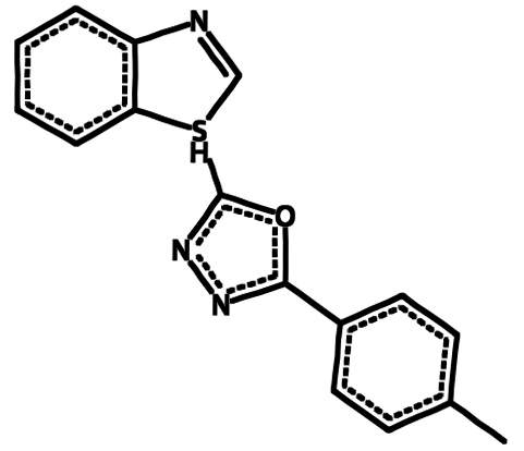 Cc1ccc(-c2nnc([SH]3C=Nc4ccccc43)o2)cc1